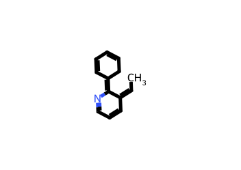 C/C=c1/cccn/c1=C1\C=CC=CC1